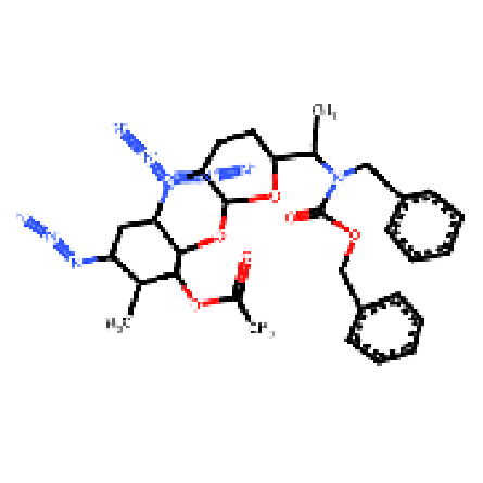 CC(=O)OC1C(C)C(N=[N+]=[N-])CC(N=[N+]=[N-])C1OC1OC(C(C)N(Cc2ccccc2)C(=O)OCc2ccccc2)CCC1N=[N+]=[N-]